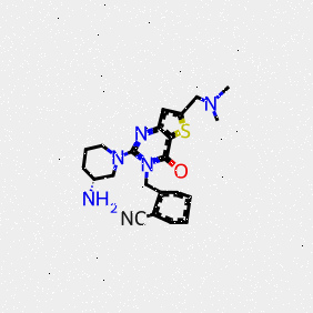 CN(C)Cc1cc2nc(N3CCC[C@@H](N)C3)n(Cc3ccccc3C#N)c(=O)c2s1